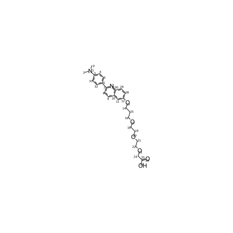 CN(C)c1ccc(-c2ccc3cc(OCCCOCCOCCOCC(=O)O)ccc3n2)cc1